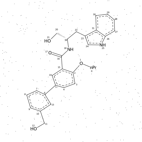 CCCOc1ccc(-c2cccc(CO)c2)cc1C(=O)N[C@H](CO)Cc1c[nH]c2ccccc12